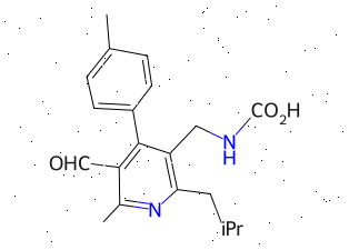 Cc1ccc(-c2c(C=O)c(C)nc(CC(C)C)c2CNC(=O)O)cc1